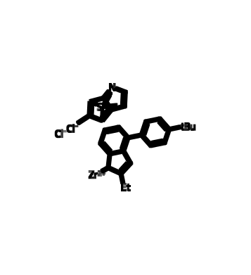 CC1=C2C3=NC=CC3=C1[Si]2(C)C.CCC1=Cc2c(-c3ccc(C(C)(C)C)cc3)cccc2[CH]1[Zr+2].[Cl-].[Cl-]